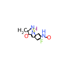 C=C(C#N)C(=O)c1cc2cc(F)c(NC=O)cc2n1SI